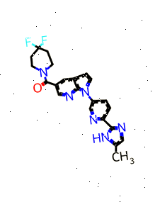 Cc1cnc(-c2ccc(-n3ccc4cc(C(=O)N5CCC(F)(F)CC5)cnc43)cn2)[nH]1